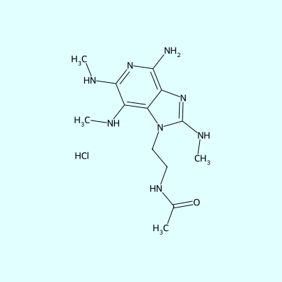 CNc1nc(N)c2nc(NC)n(CCNC(C)=O)c2c1NC.Cl